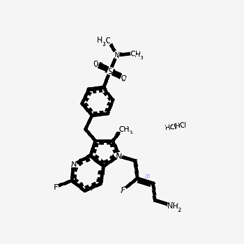 Cc1c(Cc2ccc(S(=O)(=O)N(C)C)cc2)c2nc(F)ccc2n1C/C(F)=C/CN.Cl.Cl